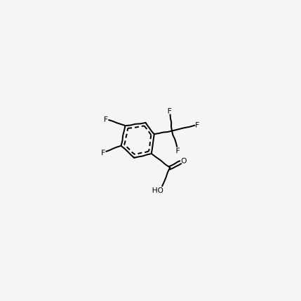 O=C(O)c1cc(F)c(F)cc1C(F)(F)F